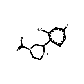 Cc1cc(F)ccc1C1CN(C(=O)O)CCN1